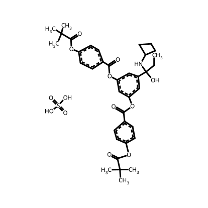 CCC(O)(NC1CCC1)c1cc(OC(=O)c2ccc(OC(=O)C(C)(C)C)cc2)cc(OC(=O)c2ccc(OC(=O)C(C)(C)C)cc2)c1.O=S(=O)(O)O